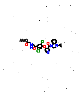 COC(=O)CNCC(=O)c1cc(Cl)c(Oc2ccncc2C(=O)N2CCN(C3CC3)c3ccccc32)cc1Cl